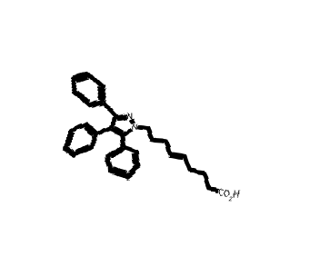 O=C(O)CCCC=CCCCn1nc(-c2ccccc2)c(-c2ccccc2)c1-c1ccccc1